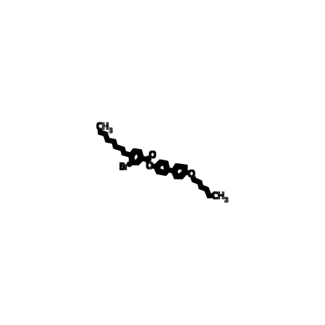 CCCCCCCCc1ccc(C(=O)Oc2ccc(-c3ccc(OCCCCCC)cc3)cc2)cc1Br